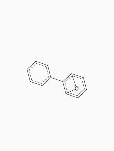 c1ccc(-c2c3cccc2O3)cc1